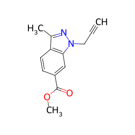 C#CCn1nc(C)c2ccc(C(=O)OC)cc21